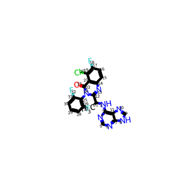 CC(Nc1ncnc2[nH]cnc12)c1nc2ccc(F)c(Cl)c2c(=O)n1-c1c(F)cccc1F